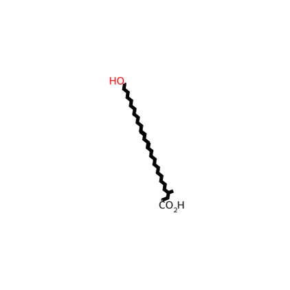 CC(CCCCCCCCCCC=CCC=CCCCCCCCCCCCO)CCC(=O)O